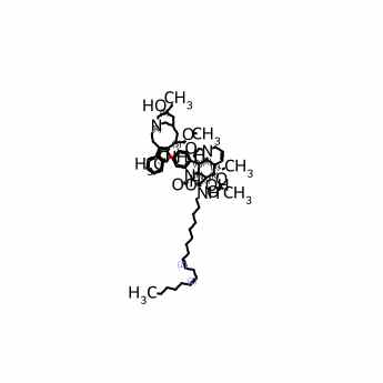 CCCCC/C=C\C/C=C\CCCCCCCCNC(=O)[C@@]1(O)[C@H](OC(C)=O)[C@]2(CC)C=CCN3CC[C@@]4(c5cc([C@@]6(C(=O)OC)CC7C[N@](CCc8c6[nH]c6ccccc86)C[C@](O)(CC)C7)c(OC)cc5N(C=O)[C@@H]14)[C@@H]32